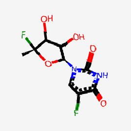 C[C@]1(F)O[C@H](n2cc(F)c(=O)[nH]c2=O)C(O)C1O